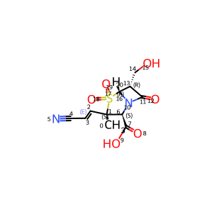 C[C@]1(/C=C/C#N)[C@H](C(=O)O)N2C(=O)[C@@H](CO)[C@H]2S1(=O)=O